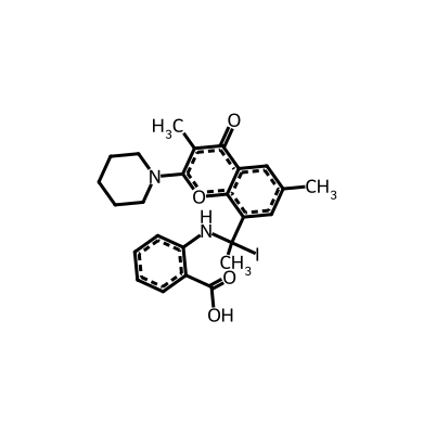 Cc1cc(C(C)(I)Nc2ccccc2C(=O)O)c2oc(N3CCCCC3)c(C)c(=O)c2c1